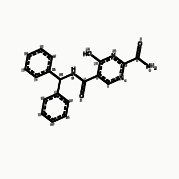 NC(=O)c1ncc(C(=O)NC(c2ccccc2)c2ccccc2)c(O)n1